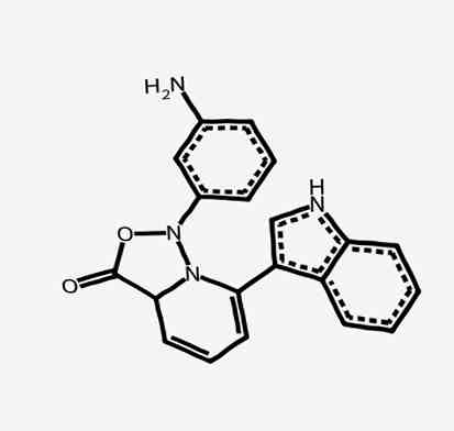 Nc1cccc(N2OC(=O)C3C=CC=C(c4c[nH]c5ccccc45)N32)c1